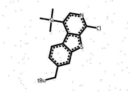 CC(C)(C)Cc1ccc2c(c1)sc1c(Cl)ncc([Si](C)(C)C)c12